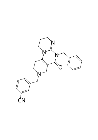 N#Cc1cccc(CN2CCC3=C(C2)C(=O)N(Cc2ccccc2)C2=NCCCN23)c1